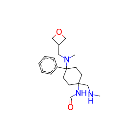 CNCC1(NC=O)CCC(c2ccccc2)(N(C)CC2COC2)CC1